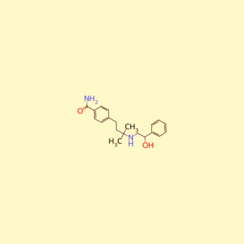 CC(C)(CCc1ccc(C(N)=O)cc1)NCC(O)c1ccccc1